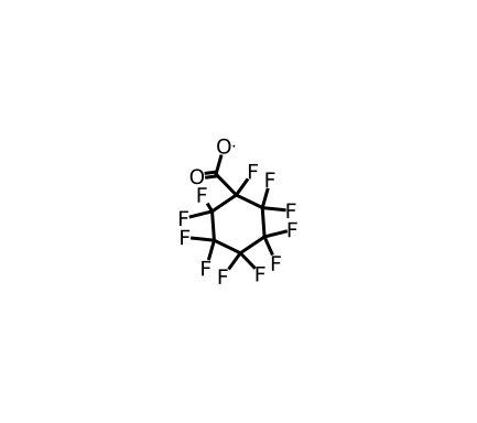 [O]C(=O)C1(F)C(F)(F)C(F)(F)C(F)(F)C(F)(F)C1(F)F